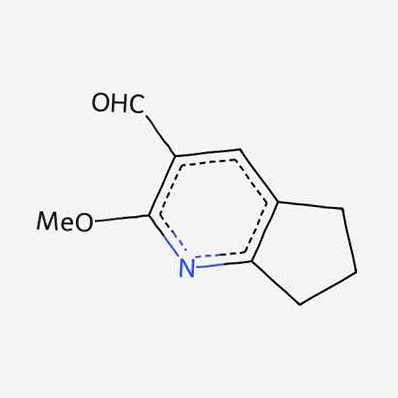 COc1nc2c(cc1C=O)CCC2